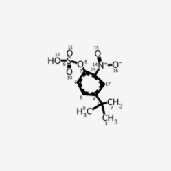 CC(C)(C)c1ccc(OS(=O)(=O)O)c([N+](=O)[O-])c1